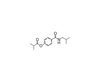 CC(C)CNC(=O)c1ccc(OC(=O)C(C)C)cc1